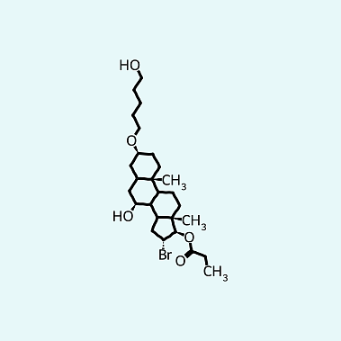 CCC(=O)O[C@H]1[C@H](Br)CC2C3C(CC[C@@]21C)[C@@]1(C)CC[C@H](OCCCCCO)CC1C[C@@H]3O